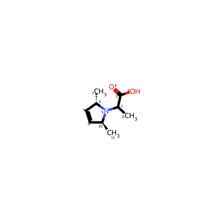 CC(C(=O)O)N1[C@@H](C)C=C[C@@H]1C